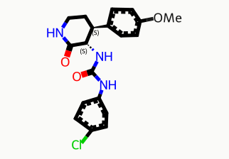 COc1ccc([C@@H]2CCNC(=O)[C@H]2NC(=O)Nc2ccc(Cl)cc2)cc1